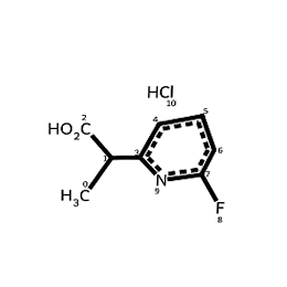 CC(C(=O)O)c1cccc(F)n1.Cl